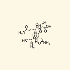 NC(=O)CC[C@H](NC(=O)[C@H](CC(N)=O)NC(=O)[C@@H](N)CS)C(=O)N[C@@H](CS)C(=O)O